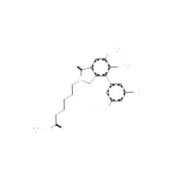 COC(=O)CCCCCN1Cc2c(cc(OC)c(OC)c2-c2cc(C)cc(C)c2)C1=O